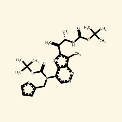 C=C(c1sc2c(N(Cc3cccs3)C(=O)OC(C)(C)C)cnnc2c1C)[C@H](C)NC(=O)OC(C)(C)C